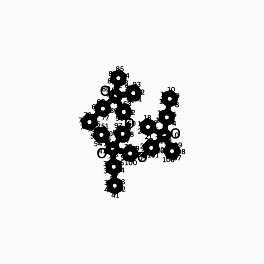 O=C1C(c2ccc(-c3ccccc3)cc2)=C(c2ccccc2)C(c2ccc(Oc3ccc(C4=C(c5ccc(-c6ccccc6)cc5)C(=O)C(c5ccccc5)=C4c4ccc(Oc5ccc(C6=C(c7ccc(-c8ccccc8)cc7)C(=O)C(c7ccccc7)=C6c6ccccc6)cc5)cc4)cc3)cc2)=C1c1ccccc1